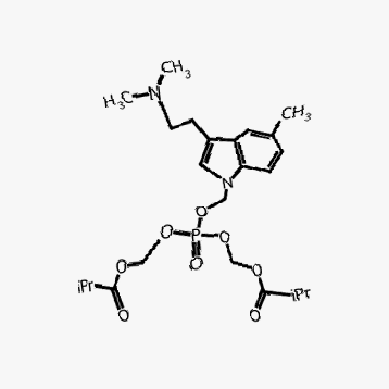 Cc1ccc2c(c1)c(CCN(C)C)cn2COP(=O)(OCOC(=O)C(C)C)OCOC(=O)C(C)C